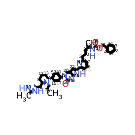 CCCN1C(CCNC(C)=N)CCC[C@H]1c1ccc(-n2cc3cc(-c4cccc(CCC[C@H](C)NC(=O)OCc5ccccc5)n4)[nH]c3nc2=O)cc1